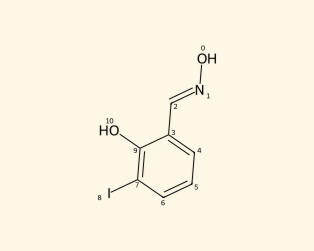 ON=Cc1cccc(I)c1O